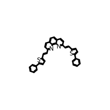 C(=C\c1ccc(-c2ccccc2)s1)/c1ccc2ccc3ccc(/C=C/c4ccc(-c5ccccc5)s4)nc3c2n1